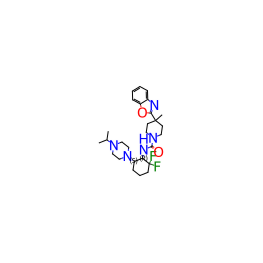 CC(C)N1CCN([C@H]2CCCC(F)(F)[C@@H]2NC(=O)N2CCC(C)(c3nc4ccccc4o3)CC2)CC1